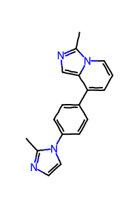 Cc1nccn1-c1ccc(-c2cccn3c(C)ncc23)cc1